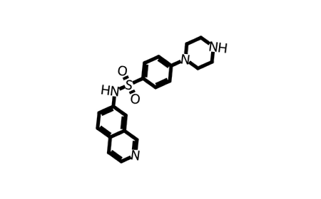 O=S(=O)(Nc1ccc2ccncc2c1)c1ccc(N2CCNCC2)cc1